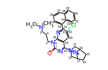 CN(C)CCCn1c(=O)nc(N2CC3CCC(C2)N3)c2cc(F)c(-c3cccc4cccc(Cl)c34)nc21